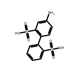 Nc1ccc(-c2ccccc2S(=O)(=O)O)c(S(=O)(=O)O)c1